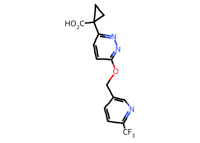 O=C(O)C1(c2ccc(OCc3ccc(C(F)(F)F)nc3)nn2)CC1